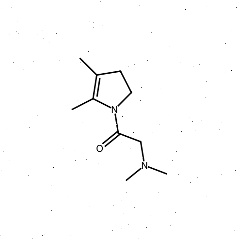 CC1=C(C)N(C(=O)CN(C)C)CC1